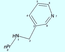 CCCNCc1cccnc1